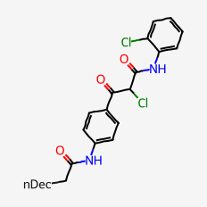 CCCCCCCCCCCC(=O)Nc1ccc(C(=O)C(Cl)C(=O)Nc2ccccc2Cl)cc1